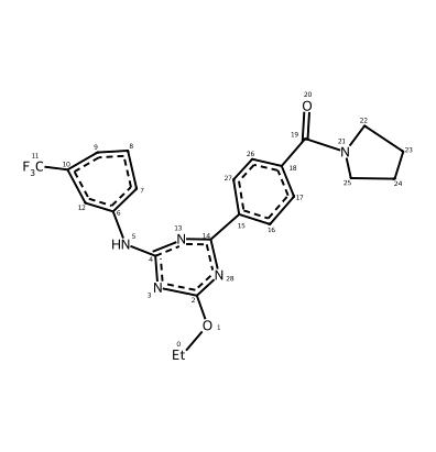 CCOc1nc(Nc2cccc(C(F)(F)F)c2)nc(-c2ccc(C(=O)N3CCCC3)cc2)n1